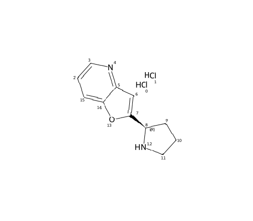 Cl.Cl.c1cnc2cc([C@H]3CCCN3)oc2c1